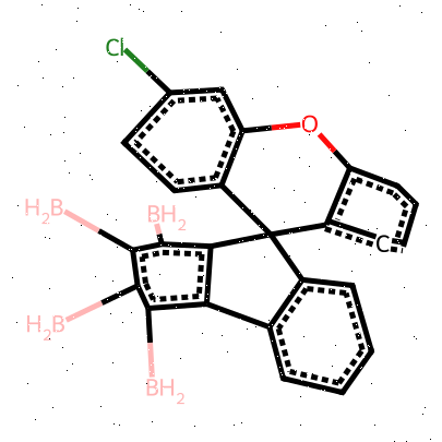 Bc1c(B)c(B)c2c(c1B)-c1ccccc1C21c2ccccc2Oc2cc(Cl)ccc21